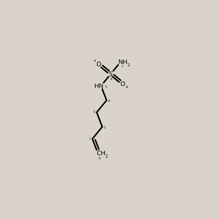 C=CCCCNS(N)(=O)=O